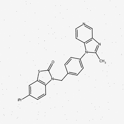 Cc1nc2cnccc2n1-c1ccc(Cn2c(=O)sc3cc(C(C)C)ccc32)cc1